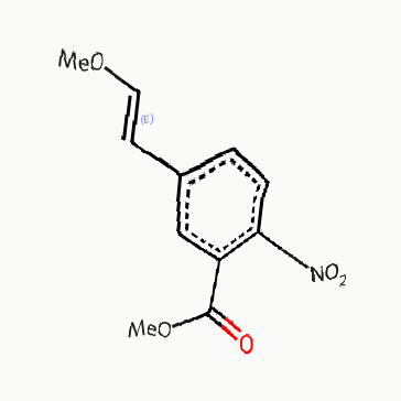 CO/C=C/c1ccc([N+](=O)[O-])c(C(=O)OC)c1